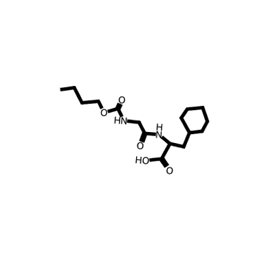 CCCCOC(=O)NCC(=O)NC(CC1CCCCC1)C(=O)O